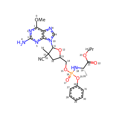 COc1nc(N)nc2c1ncn2C1OC(COP(=O)(N[C@@H](C)C(=O)OC(C)C)Oc2ccccc2)CC1(C)C#N